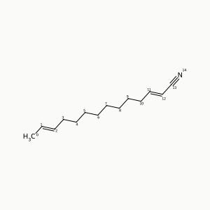 CC=CCCCCCCCCC=CC#N